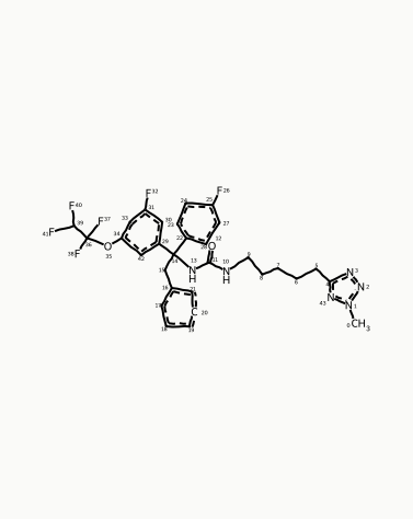 Cn1nnc(CCCCCNC(=O)NC(Cc2ccccc2)(c2ccc(F)cc2)c2cc(F)cc(OC(F)(F)C(F)F)c2)n1